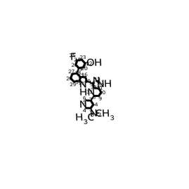 CN(C)c1cncc(-c2ccc3[nH]nc(-c4cc5c(-c6cc(O)cc(F)c6)cccc5[nH]4)c3n2)c1